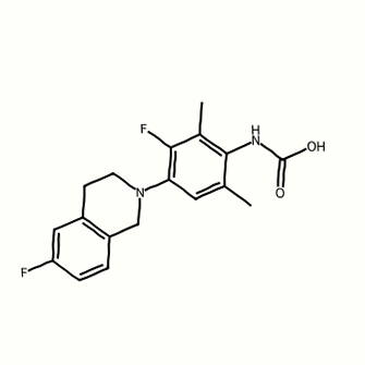 Cc1cc(N2CCc3cc(F)ccc3C2)c(F)c(C)c1NC(=O)O